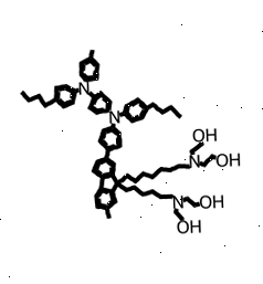 CCCCc1ccc(N(c2ccc(C)cc2)c2ccc(N(c3ccc(CCCC)cc3)c3ccc(-c4ccc5c(c4)C(CCCCCCCCN(CCO)CCO)(CCCCCCN(CCO)CCO)c4cc(C)ccc4-5)cc3)cc2)cc1